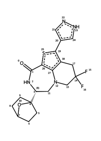 O=C1N[C@@H](C23CCC(CC2)O3)CN2CC(F)(F)Cc3c(-c4cn[nH]c4)sc1c32